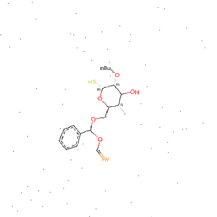 CCCCO[C@@H]1C(O)[C@H](C)C(COC(OC=P)c2ccccc2)O[C@@H]1S